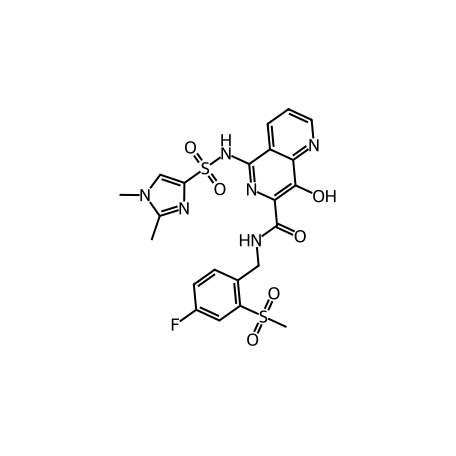 Cc1nc(S(=O)(=O)Nc2nc(C(=O)NCc3ccc(F)cc3S(C)(=O)=O)c(O)c3ncccc23)cn1C